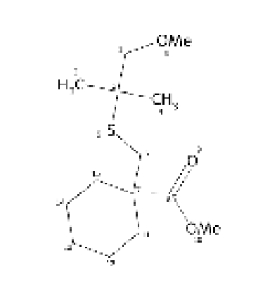 COCC(C)(C)SCC1(C(=O)OC)CCCCC1